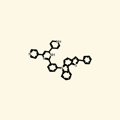 C1=CC(C2C=C(c3ccncc3)N=C(c3cccc(-n4c5ccccc5c5c6sc(-c7ccccc7)cc6ccc54)c3)N2)=CCN1